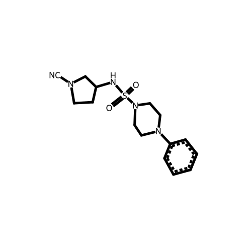 N#CN1CCC(NS(=O)(=O)N2CCN(c3ccccc3)CC2)C1